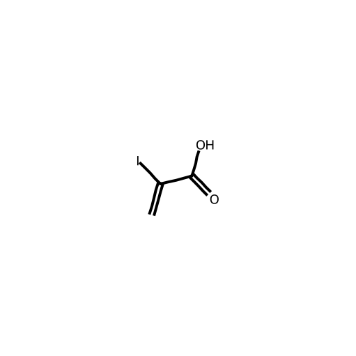 C=C(I)C(=O)O